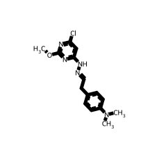 COc1nc(Cl)cc(NN=CCc2ccc(N(C)C)cc2)n1